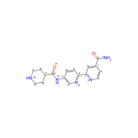 NC(=O)c1ccnc(-c2ccc(NC(=O)C3CCNCC3)cn2)c1